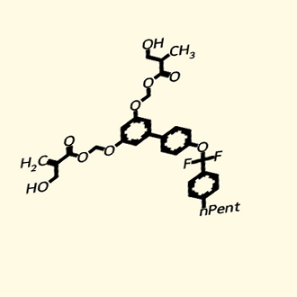 C=C(CO)C(=O)OCOc1cc(OCOC(=O)C(C)CO)cc(-c2ccc(OC(F)(F)c3ccc(CCCCC)cc3)cc2)c1